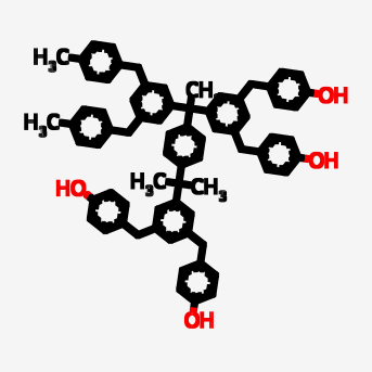 Cc1ccc(Cc2cc(Cc3ccc(C)cc3)cc(C(C)(c3ccc(C(C)(C)c4cc(Cc5ccc(O)cc5)cc(Cc5ccc(O)cc5)c4)cc3)c3cc(Cc4ccc(O)cc4)cc(Cc4ccc(O)cc4)c3)c2)cc1